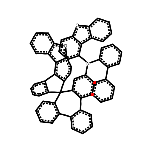 c1ccc(-c2ccccc2N(c2ccc3c(c2)C2(c4ccccc4-c4ccccc4-3)c3ccccc3-c3c2ccc2oc4ccccc4c32)c2cccc3oc4ccccc4c23)cc1